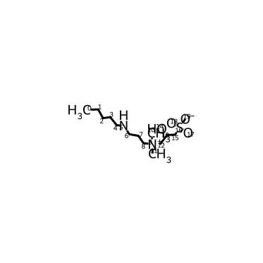 CCCCCNCCC[N+](C)(C)CC(O)CS(=O)(=O)[O-]